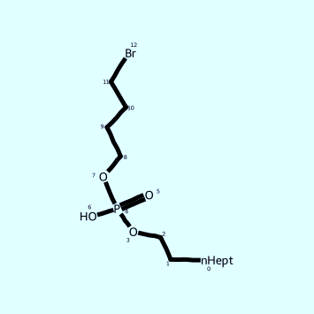 CCCCCCCCCOP(=O)(O)OCCCCBr